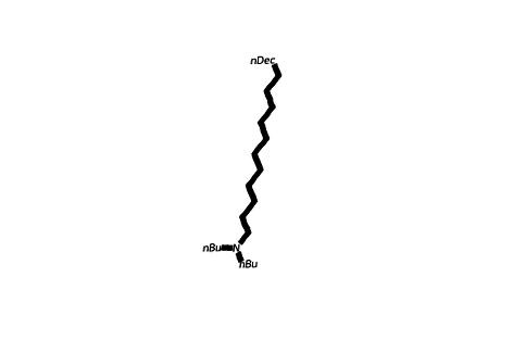 CCCCCCCCCCCCCCCCCCCCCN(CCCC)CCCC